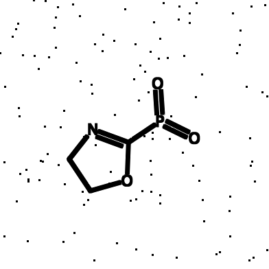 O=P(=O)C1=NCCO1